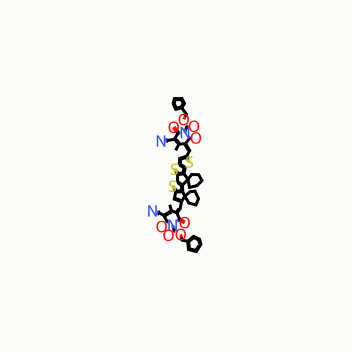 CC1=C(C#N)C(=O)N(C(=O)OCc2ccccc2)C(=O)/C1=C/C1=Cc2sc3c(c2C12CCCCC2)C1(CCCCC1)c1c-3sc2cc(/C=C3/C(=O)N(C(=O)OCc4ccccc4)C(=O)C(C#N)=C3C)sc12